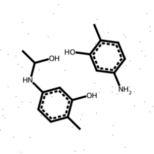 Cc1ccc(N)cc1O.Cc1ccc(NC(C)O)cc1O